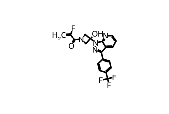 C=C(F)C(=O)N1CC(O)(n2nc(-c3ccc(C(F)(F)F)cc3)c3cccnc32)C1